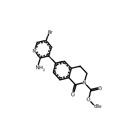 CC(C)(C)OC(=O)N1CCc2cc(-c3cc(Br)cnc3N)ccc2C1=O